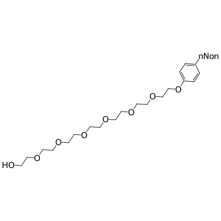 CCCCCCCCCc1ccc(OCCOCCOCCOCCOCCOCCOCCO)cc1